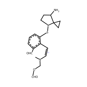 CN(/C=C\c1c(C=O)cccc1SN1CCC(N)C12CC2)COC=O